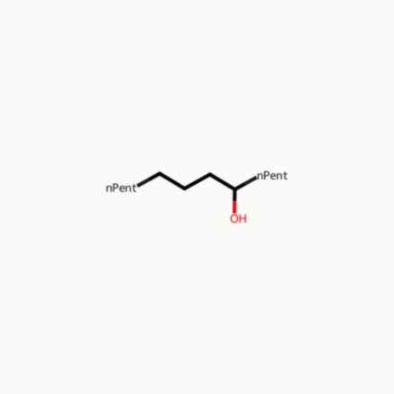 CCCCCCCCC(O)CCCCC